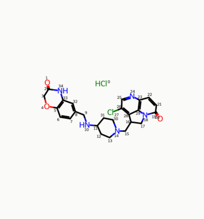 Cl.O=C1COc2ccc(CNC3CCN(CC4Cn5c(=O)ccc6ncc(Cl)c4c65)CC3)cc2N1